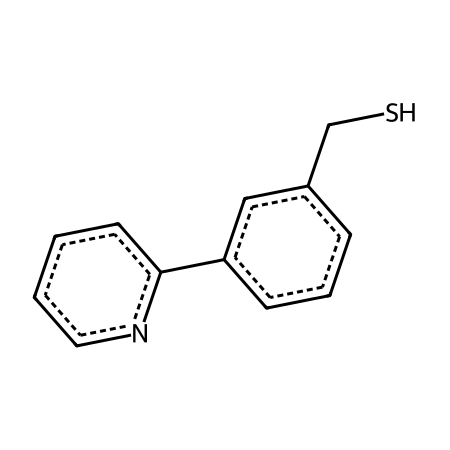 SCc1cccc(-c2ccccn2)c1